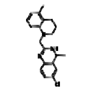 C=C1NC(CN2CCCc3c(C)cccc32)=Nc2ccc(Cl)cc21